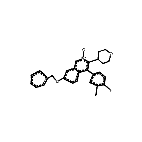 Cc1cc(-c2c(C3CCOCC3)[n+]([O-])cc3cc(OCc4ccccc4)ccc23)ccc1F